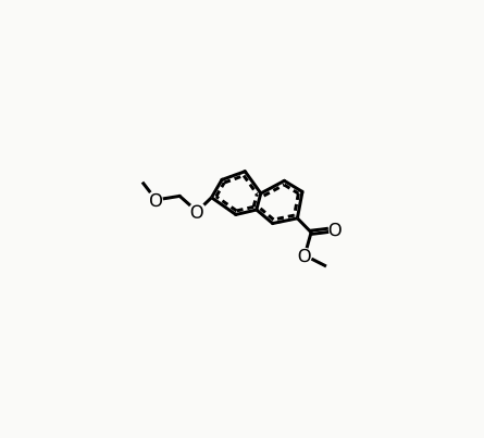 COCOc1ccc2ccc(C(=O)OC)cc2c1